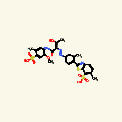 COc1cc(S(=O)(=O)O)c(C)cc1NC(=O)C(/N=N/C1=CC=C(c2nc3ccc(C)c(S(=O)(=O)O)c3s2)C(C)C1)=C(/C)O